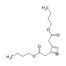 CCCCOC(=O)CC1=[CH][Bi]=[C]1CC(=O)OCCCC